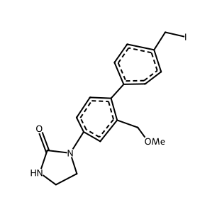 COCc1cc(N2CCNC2=O)ccc1-c1ccc(CI)cc1